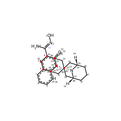 N/C(=N\O)c1nc2ccccc2n([C@H]2C[C@H]3CCC[C@@H](C2)N3[C@H]2C[C@@H]3CCC[C@@H](C3)C2)c1=O